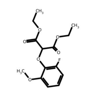 CCOC(=O)C(Oc1c(F)cccc1OC)C(=O)OCC